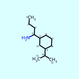 CCCC(N)C1CCCC(C(C)C)C1